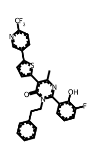 Cc1nc(-c2cccc(F)c2O)n(CCc2ccccc2)c(=O)c1-c1ccc(-c2ccc(C(F)(F)F)nc2)s1